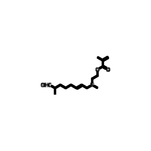 C=C(C)C(=O)OCCN(C)CC=CCCCC(C)C=O